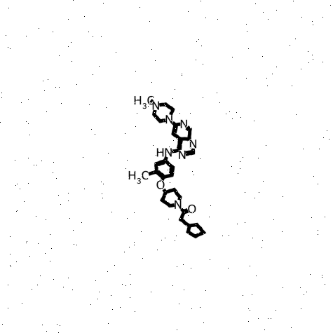 Cc1cc(Nc2ncnc3cnc(N4CCN(C)CC4)cc23)ccc1OC1CCN(C(=O)CC2CCCC2)CC1